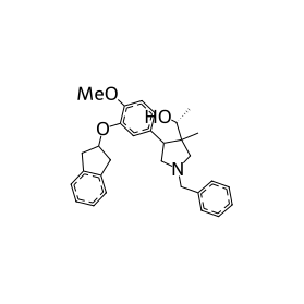 COc1ccc(C2CN(Cc3ccccc3)CC2(C)[C@@H](C)O)cc1OC1Cc2ccccc2C1